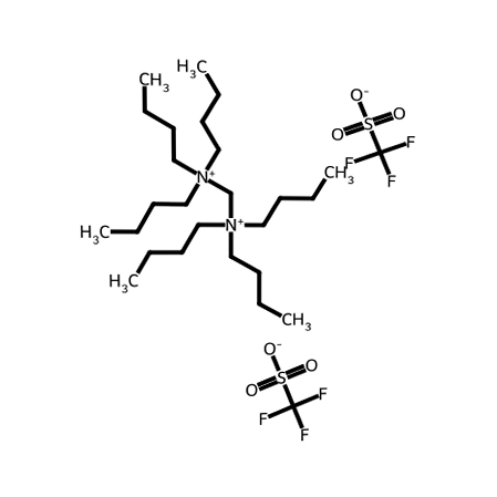 CCCC[N+](CCCC)(CCCC)C[N+](CCCC)(CCCC)CCCC.O=S(=O)([O-])C(F)(F)F.O=S(=O)([O-])C(F)(F)F